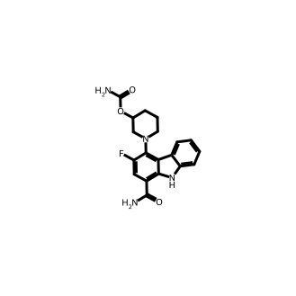 NC(=O)OC1CCCN(c2c(F)cc(C(N)=O)c3[nH]c4ccccc4c23)C1